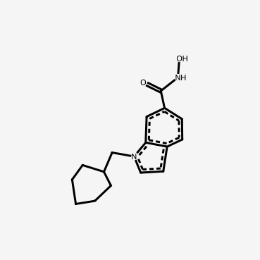 O=C(NO)c1ccc2ccn(CC3CCCCC3)c2c1